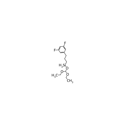 CCOC(OCC)O[SiH2]CCCc1cc(F)cc(F)c1